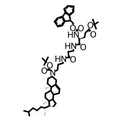 CC(C)CCC[C@@H](C)[C@H]1CCC2C3CC=C4C[C@@H](N(CCCNC(=O)CCNC(=O)[C@H](CCC(=O)OC(C)(C)C)NC(=O)OCC5c6ccccc6-c6ccccc65)C(=O)OC(C)(C)C)CC[C@]4(C)C3CC[C@@]21C